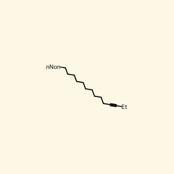 [CH2]CC#CCCCCCCCCCCCCCCCCCC[CH2]